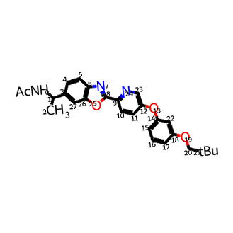 CC(=O)NC(C)c1ccc2nc(-c3ccc(Oc4cccc(OCC(C)(C)C)c4)cn3)oc2c1